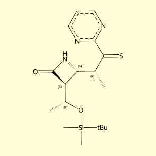 C[C@@H](O[Si](C)(C)C(C)(C)C)[C@H]1C(=O)N[C@@H]1[C@@H](C)C(=S)c1ncccn1